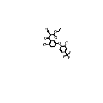 CCOC(=O)C(C#N)C(=O)c1cc(Oc2ccc(C(F)(F)F)cc2Cl)ccc1Cl